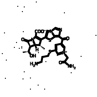 C[C@@H](O)[C@H]1C(=O)N2C(C(=O)[O-])=C(c3cn4cnc(C(=O)c5cc(SCCCN)c[n+](CC(N)=O)c5)c4s3)[C@H](C)[C@H]12